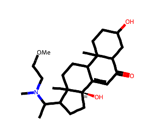 COCCN(C)C(C)C1CC[C@@]2(O)C3=CC(=O)C4CC(O)CCC4(C)C3CCC12C